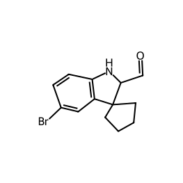 O=CC1Nc2ccc(Br)cc2C12CCCC2